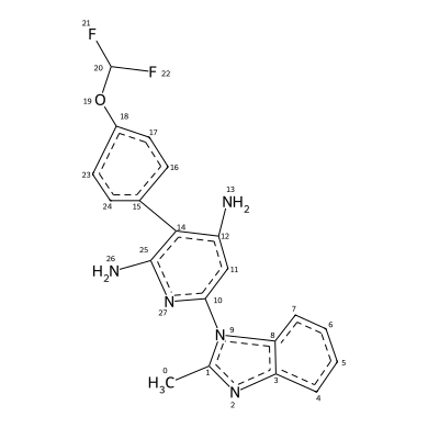 Cc1nc2ccccc2n1-c1cc(N)c(-c2ccc(OC(F)F)cc2)c(N)n1